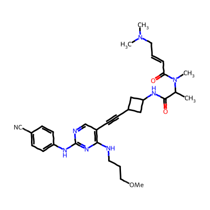 COCCCNc1nc(Nc2ccc(C#N)cc2)ncc1C#CC1CC(NC(=O)C(C)N(C)C(=O)C=CCN(C)C)C1